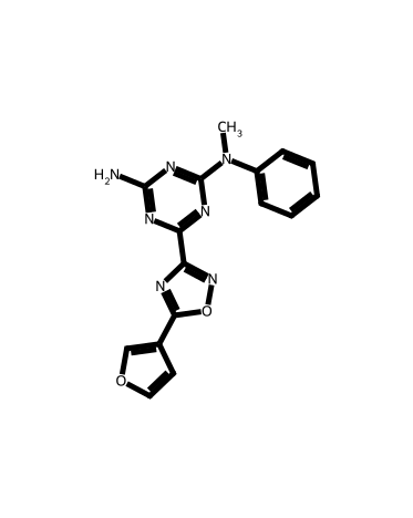 CN(c1ccccc1)c1nc(N)nc(-c2noc(-c3ccoc3)n2)n1